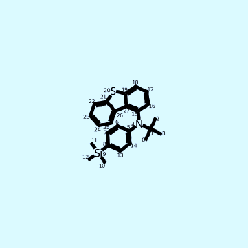 CC(C)(C)N(c1ccc([Si](C)(C)C)cc1)c1cccc2sc3ccccc3c12